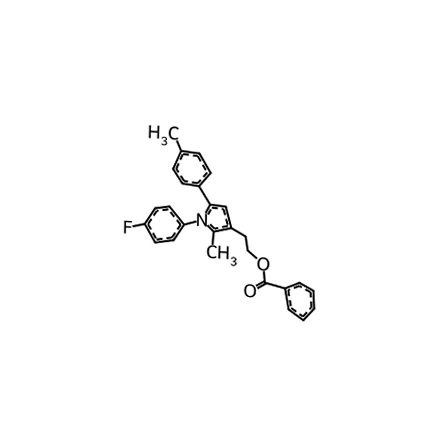 Cc1ccc(-c2cc(CCOC(=O)c3ccccc3)c(C)n2-c2ccc(F)cc2)cc1